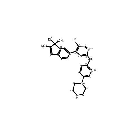 CCC1(C)C(C)=Cc2ccc(-c3nc(Nc4ccc(N5CCNCC5)cn4)ncc3F)cc21